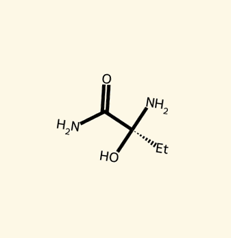 CC[C@](N)(O)C(N)=O